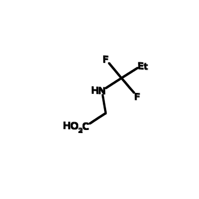 CCC(F)(F)NCC(=O)O